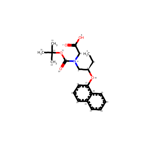 CC[C@H](CN(CC(=O)O)C(=O)OC(C)(C)C)Oc1cccc2ccccc12